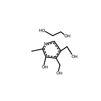 Cc1ncc(CO)c(CO)c1O.OCCO